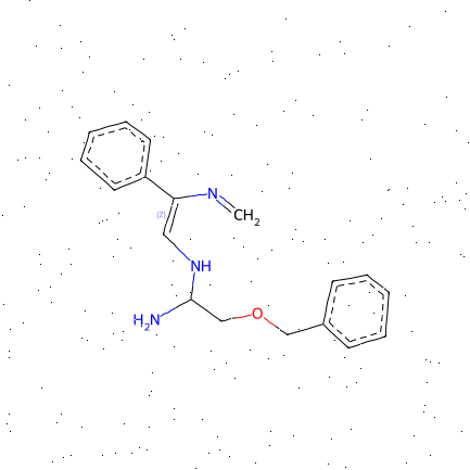 C=N/C(=C\NC(N)COCc1ccccc1)c1ccccc1